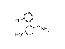 Clc1ccccc1.NCc1ccc(O)cc1